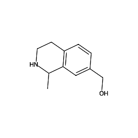 CC1NCCc2ccc(CO)cc21